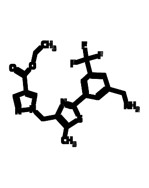 CCOC(=O)c1cnn(Cc2nc(-c3cc(CN)cc(C(F)(F)F)c3)sc2C)c1